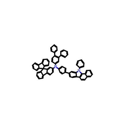 c1ccc(-c2ccc(N(c3ccc(-c4ccc5c6ccc7ccccc7c6n(-c6ccccc6)c5c4)cc3)c3ccc4c(c3)C3(c5ccccc5-c5ccccc53)c3ccccc3-4)cc2-c2ccccc2)cc1